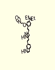 CCN(CC)c1ccc(/C=C/c2cc(/C=C/c3ccc4cc[nH]c4c3)[nH]n2)c(OCCN2CCOCC2)c1